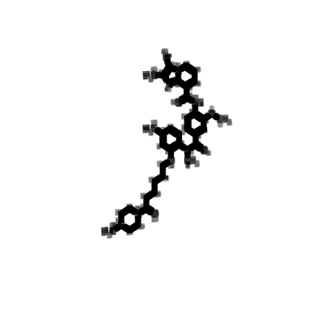 COc1cc(C(=O)N(C)c2ccc(C)cc2OCCCCCC(=O)N2CCN(C)CC2)ccc1NC(=O)c1cccn2c(Br)c(C)nc12